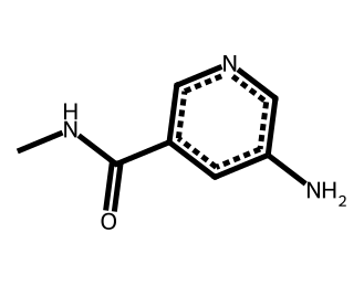 CNC(=O)c1cncc(N)c1